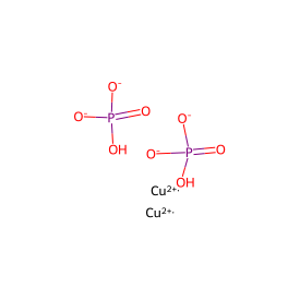 O=P([O-])([O-])O.O=P([O-])([O-])O.[Cu+2].[Cu+2]